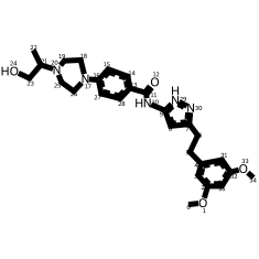 COc1cc(CCc2cc(NC(=O)c3ccc(N4CCN(C(C)CO)CC4)cc3)[nH]n2)cc(OC)c1